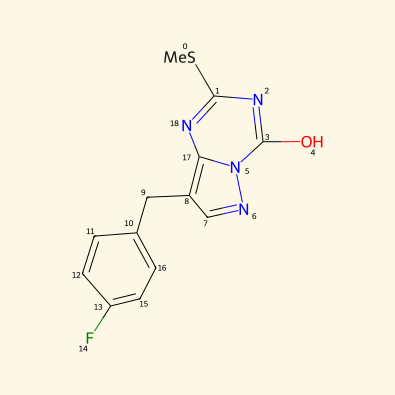 CSc1nc(O)n2ncc(Cc3ccc(F)cc3)c2n1